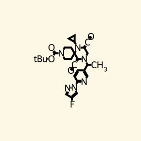 CC(c1ccc(-n2cc(F)cn2)nc1)N1CC(=C=O)N(C2CC2)C2(CCN(C(=O)OC(C)(C)C)CC2)C1=C=O